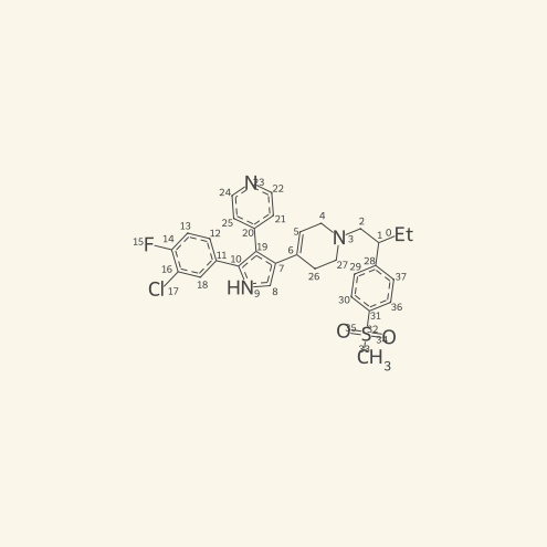 CCC(CN1CC=C(c2c[nH]c(-c3ccc(F)c(Cl)c3)c2-c2ccncc2)CC1)c1ccc(S(C)(=O)=O)cc1